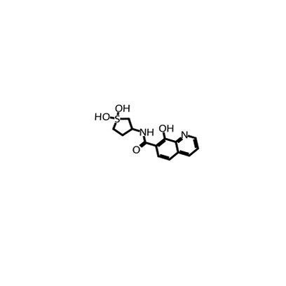 O=C(NC1CCS(O)(O)C1)c1ccc2cccnc2c1O